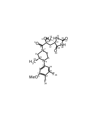 COc1cc(N2CCN(C(=O)[C@@H](C)C[C@@]3(C)NC(=O)NC3=O)C[C@@H]2C)cc(F)c1F